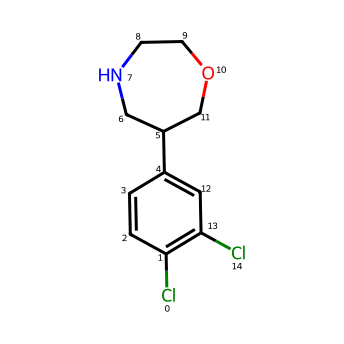 Clc1ccc(C2CNCCOC2)cc1Cl